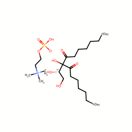 CCCCCCCCCCCCCCCC(=O)C(O)(C(=O)CCCCCCCCCCCCCCC)[C@@H](O)CO.C[N+](C)(C)CCOP(=O)([O-])O